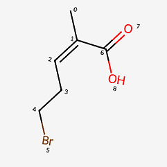 CC(=CCCBr)C(=O)O